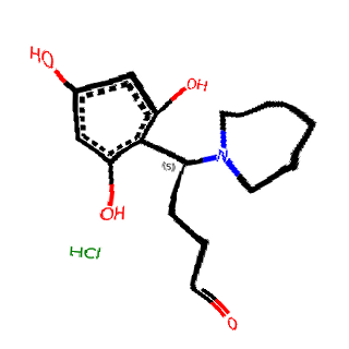 Cl.O=CCC[C@@H](c1c(O)cc(O)cc1O)N1CCCCC1